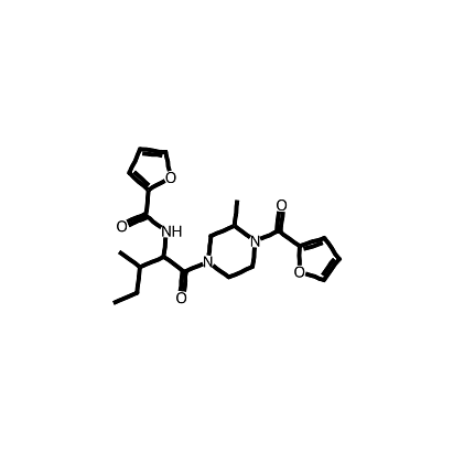 CCC(C)C(NC(=O)c1ccco1)C(=O)N1CCN(C(=O)c2ccco2)C(C)C1